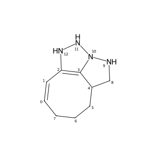 C1=CC2=C3C(CCC1)CNN3NN2